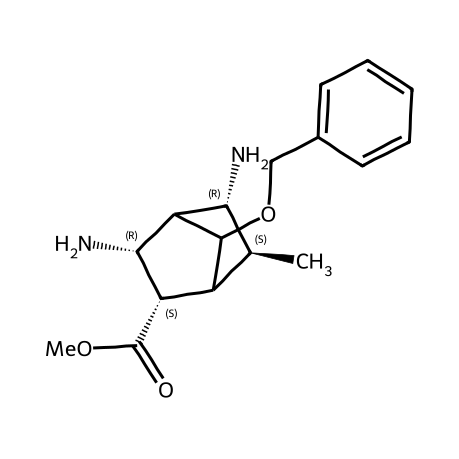 COC(=O)[C@H]1C2C(OCc3ccccc3)C([C@H]1N)[C@H](N)[C@H]2C